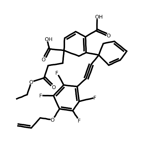 C=CCOc1c(F)c(F)c(C#CC2(C3=C(C(=O)O)C=CC(CCC(=O)OCC)(C(=O)O)C3)C=CC=CC2)c(F)c1F